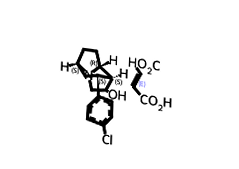 O=C(O)/C=C/C(=O)O.OC1CN2[C@H]3CC[C@@H]2[C@@H]1[C@@H](c1ccc(Cl)cc1)C3